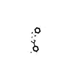 COc1cc(C2CN(OS(=O)(=O)c3ccc(C)cc3)C2)ccc1C